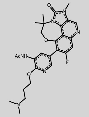 CC(=O)Nc1cc(-c2c(F)cc3ncc4c5c3c2OCC(C)(C)n5c(=O)n4C)cnc1OCCCN(C)C